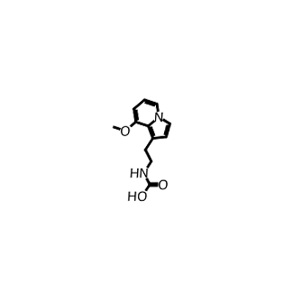 COc1cccn2ccc(CCNC(=O)O)c12